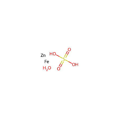 O.O=S(=O)(O)O.[Fe].[Zn]